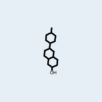 CC1CCC(C2CCC3CC(O)CCC3C2)CC1